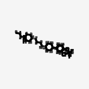 CCC[Si@H]1CC[C@H](CCCC[C@H]2CC[C@H](c3ccc(OC(F)(F)Cl)cc3)CC2)CC1